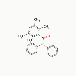 Cc1cc(C)c(C)c(C(=O)P(c2ccccc2)c2ccccc2)c1C